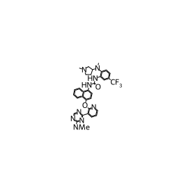 CNc1ncnc(-c2cccnc2Oc2ccc(NC(=O)Nc3cc(C(F)(F)F)ccc3N(C)C3CCN(C)C3)c3ccccc23)n1